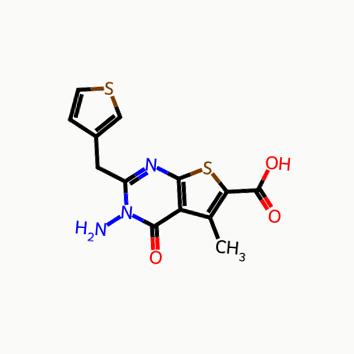 Cc1c(C(=O)O)sc2nc(Cc3ccsc3)n(N)c(=O)c12